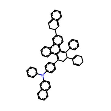 C1=CC(C2CC(c3ccc(N(c4ccccc4)c4ccc5ccccc5c4)cc3)=c3c(c4ccc(C5C=c6ccccc6=CC5)cc4c4ccccc34)=C2c2ccccc2)=CCC1